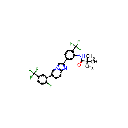 CC(C)(C)C(=O)Nc1cc(-c2cn3cc(-c4cc(C(F)(F)F)ccc4F)ccc3n2)ccc1C(F)(F)F